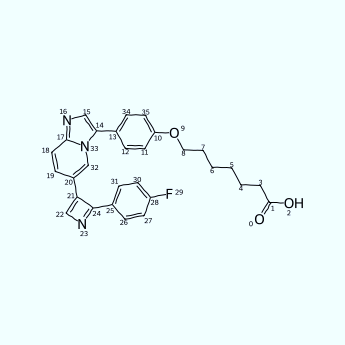 O=C(O)CCCCCCOc1ccc(-c2cnc3ccc(C4=CN=C4c4ccc(F)cc4)cn23)cc1